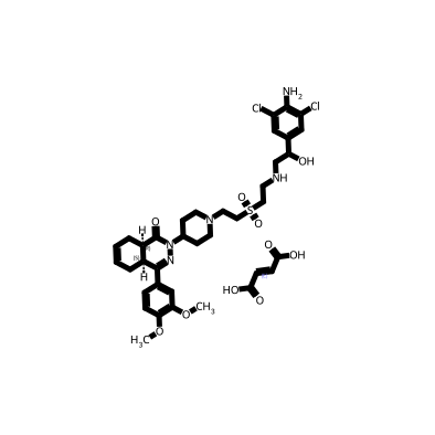 COc1ccc(C2=NN(C3CCN(CCS(=O)(=O)CCNCC(O)c4cc(Cl)c(N)c(Cl)c4)CC3)C(=O)[C@@H]3CC=CC[C@H]23)cc1OC.O=C(O)/C=C/C(=O)O